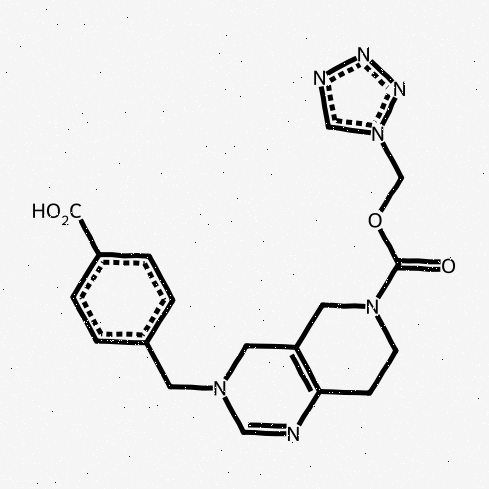 O=C(O)c1ccc(CN2C=NC3=C(C2)CN(C(=O)OCn2cnnn2)CC3)cc1